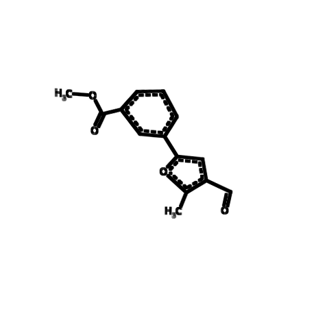 COC(=O)c1cccc(-c2cc(C=O)c(C)o2)c1